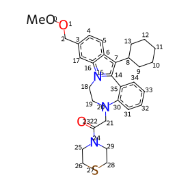 COOCc1ccc2c(C3CCCCC3)c3n(c2c1)CCN(CC(=O)N1CCSCC1)c1ccccc1-3